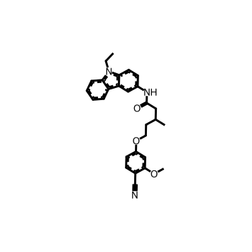 CCn1c2ccccc2c2cc(NC(=O)CC(C)CCOc3ccc(C#N)c(OC)c3)ccc21